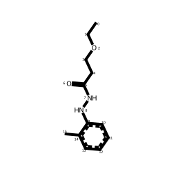 CCOCCC(=O)NNc1ccccc1C